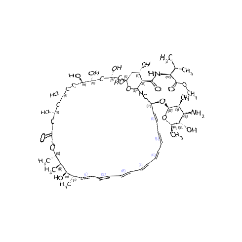 COC(=O)[C@@H](NC(=O)[C@H]1[C@@H]2C[C@@H](O[C@@H]3O[C@H](C)[C@@H](O)[C@H](N)[C@@H]3O)/C=C/C=C/C=C/C=C/C=C/C=C/C=C/[C@H](C)[C@@H](O)[C@@H](C)[C@H](C)OC(=O)C[C@H](O)C[C@H](O)CC[C@@H](O)[C@H](O)C[C@H](O)C[C@](O)(C[C@@H]1O)O2)C(C)C